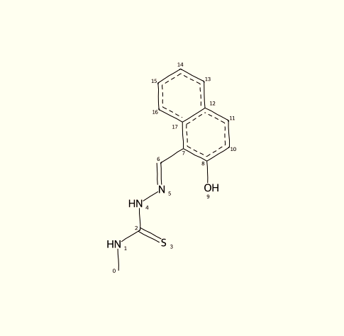 CNC(=S)NN=Cc1c(O)ccc2ccccc12